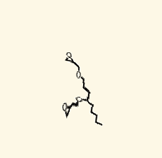 CCCCCC(CCCOCC1CO1)OCC1CO1